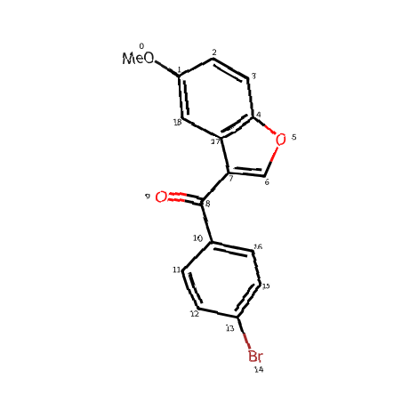 COc1ccc2occ(C(=O)c3ccc(Br)cc3)c2c1